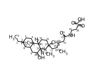 CCC1CC[C@@]2(C)C(C1)C[C@H](O)[C@H]1[C@@H](C)[C@@](C)(C[C@@H](C)CCC(=O)NCCS(=O)(=O)O)CC[C@H]12